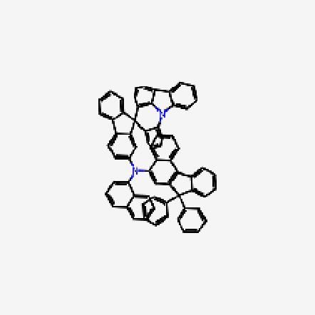 c1ccc(C2(c3ccccc3)c3ccccc3-c3c2cc(N(c2ccc4c(c2)C2(c5ccccc5-4)c4ccccc4-n4c5ccccc5c5cccc2c54)c2cccc4ccccc24)c2ccccc32)cc1